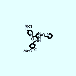 COc1ccc(CNc2nc(OCc3ccccn3)ncc2C(=O)N2CCC(OS(=O)Cl)CC2)cc1Cl